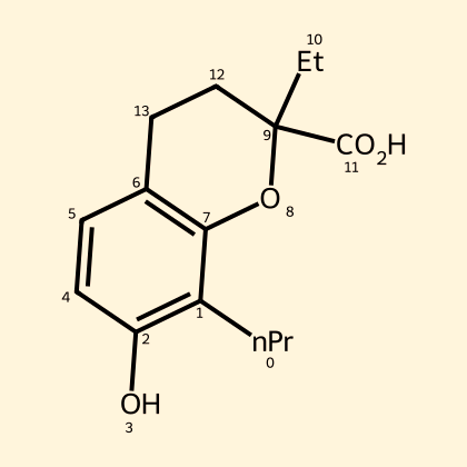 CCCc1c(O)ccc2c1OC(CC)(C(=O)O)CC2